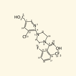 O=C(O)c1cnc(N2CCN(C(=NO)c3c(F)cccc3C(F)(F)F)CC2)c(Cl)c1